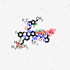 C=C[C@@H]1Cc2c(C(F)(F)F)nn(CC(=O)N[C@@H](Cc3cc(F)cc(F)c3)c3nc(CCC(C)(C)S(C)(=O)=O)ccc3-c3ccc(Cl)c4c(N(C(=O)N(C)c5ncccc5COP(=O)(O)O)S(C)(=O)=O)nn(CC(F)(F)F)c34)c2C1(F)F